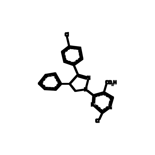 O=C(O)c1cnc(Cl)nc1N1CC(c2ccccc2)C(c2ccc(Cl)cc2)=N1